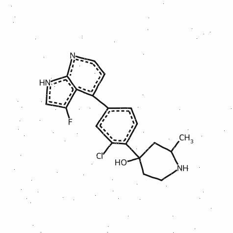 CC1CC(O)(c2ccc(-c3ccnc4[nH]cc(F)c34)cc2Cl)CCN1